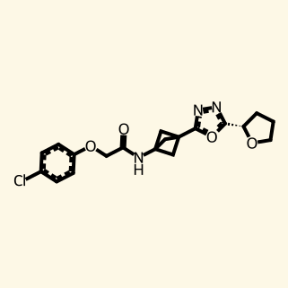 O=C(COc1ccc(Cl)cc1)NC12CC(c3nnc([C@@H]4CCCO4)o3)(C1)C2